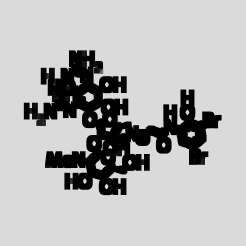 CN[C@@H]1[C@H](O[C@H]2[C@H](O[C@H]3[C@H](O)[C@@H](O)[C@H](N=C(N)N)[C@@H](O)[C@@H]3N=C(N)N)O[C@@H](C)[C@]2(O)/C=N/OCC(=O)Nc2cc(Br)cc(Br)c2O)O[C@@H](CO)[C@H](O)[C@H]1O